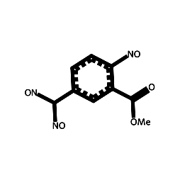 COC(=O)c1cc(C(N=O)N=O)ccc1N=O